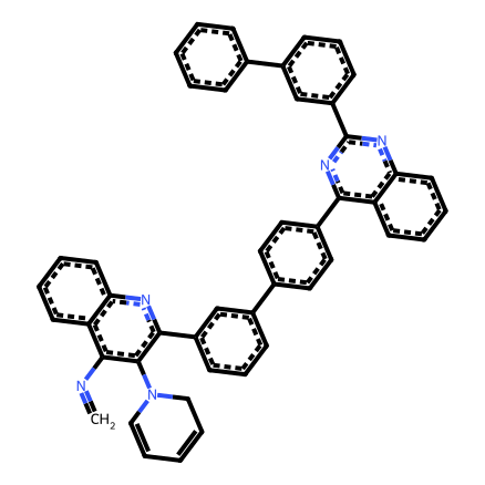 C=Nc1c(N2C=CC=CC2)c(-c2cccc(-c3ccc(-c4nc(-c5cccc(-c6ccccc6)c5)nc5ccccc45)cc3)c2)nc2ccccc12